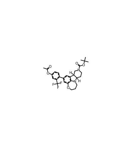 CC(=O)Oc1ccc(-c2cc3c4c(c2)[C@@H]2CN(C(=O)OC(C)(C)C)CC[C@@H]2N4CCCO3)c(C(F)(F)F)c1